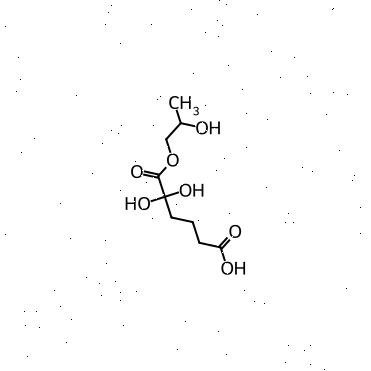 CC(O)COC(=O)C(O)(O)CCCC(=O)O